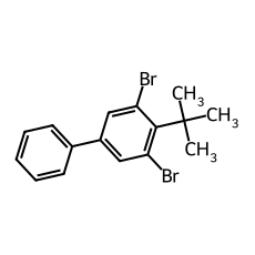 CC(C)(C)c1c(Br)cc(-c2ccccc2)cc1Br